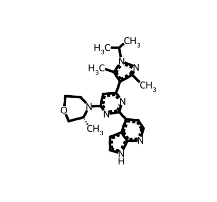 Cc1nn(C(C)C)c(C)c1-c1cc(N2CCOC[C@H]2C)nc(-c2ccnc3[nH]ccc23)n1